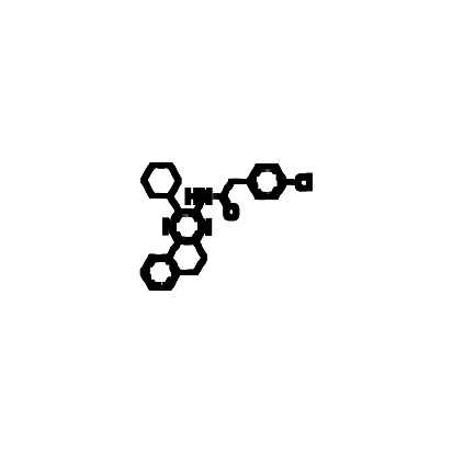 O=C(Cc1ccc(Cl)cc1)Nc1nc2c(nc1C1CCCCC1)-c1ccccc1CC2